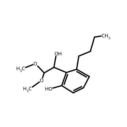 CCCCc1cccc(O)c1C(O)C(OC)OC